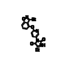 CCc1noc2cccc(Oc3ccc(N4C(=O)N[C@H](CC)C4=O)cn3)c12